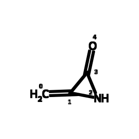 C=C1NC1=O